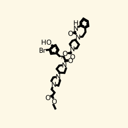 CCOC(=O)CCN1CCN(C2CCN(C(=O)[C@@H](Cc3ccc(O)c(Br)c3)OC(=O)N3CCC(N4CCc5ccccc5NC4=O)CC3)CC2)CC1